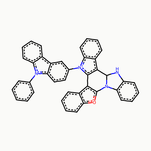 c1ccc(-n2c3ccccc3c3cc(-n4c5c(c6ccccc64)C4Nc6ccccc6N4c4oc6ccccc6c4-5)ccc32)cc1